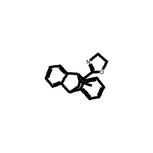 CC1(C2=NCCO2)CC2c3ccccc3C1c1ccccc12